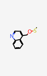 CSOCc1ccnc2ccccc12